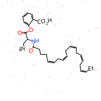 CC/C=C\C/C=C\C/C=C\C/C=C\C/C=C\CCCC(=O)NC(CC(C)C)C(=O)Oc1ccccc1C(=O)O